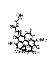 COc1c2c3c4c(c(NCC(=O)OCCO)c(=O)c5c(O)cc(OC)c(c6c(OC)cc(O)c(c1=O)c63)c54)CC(C)=C2